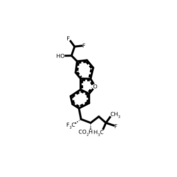 CC(C)(F)C[C@H](C(=O)O)[C@@H](c1ccc2c(c1)oc1ccc(C(O)C(F)F)cc12)C(F)(F)F